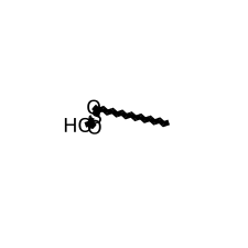 CCCCCCCCCCCCCCCC(=O)SCC(=O)O